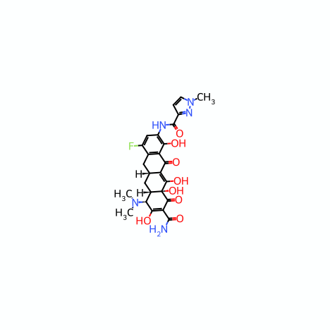 CN(C)[C@@H]1C(O)=C(C(N)=O)C(=O)[C@@]2(O)C(O)=C3C(=O)c4c(O)c(NC(=O)c5ccn(C)n5)cc(F)c4C[C@H]3C[C@@H]12